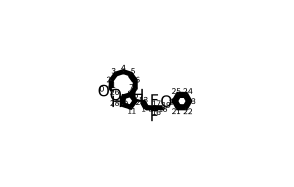 O=C1CCC/C=C\C[C@H]2[C@H](CC[C@@H]2/C=C/C(F)(F)COc2ccccc2)O1